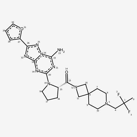 CC(F)(F)CN1CCC2(CC1)CN(C(=O)[C@@H]1CCCN1c1nc(N)n3nc(-c4ccco4)nc3n1)C2